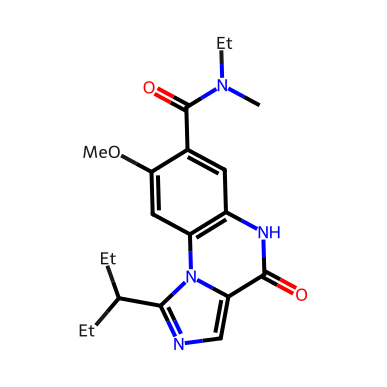 CCC(CC)c1ncc2c(=O)[nH]c3cc(C(=O)N(C)CC)c(OC)cc3n12